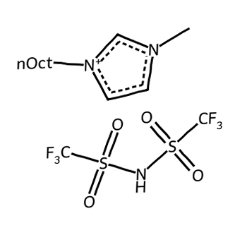 CCCCCCCC[n+]1ccn(C)c1.O=S(=O)(NS(=O)(=O)C(F)(F)F)C(F)(F)F